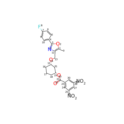 Cc1oc(-c2ccc(F)cc2)nc1CO[C@H]1CCC[C@@H](OC(=O)c2cc([N+](=O)[O-])cc([N+](=O)[O-])c2)C1